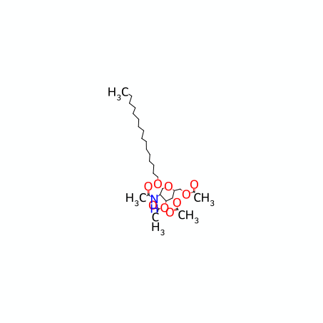 CCCCCCCCCCCCCCCCOC1OC(COC(C)=O)C(OC(C)=O)C(OC(C)=O)C1NC(C)=O